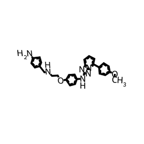 COc1ccc(-c2cccc3nc(Nc4ccc(OCCNCc5ccc(N)cc5)cc4)nn23)cc1